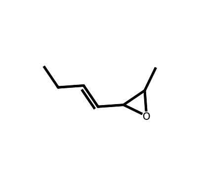 CCC=CC1OC1C